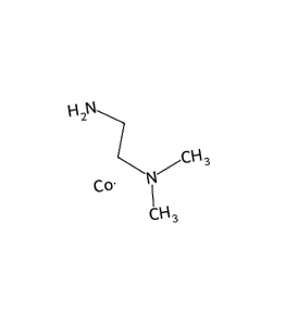 CN(C)CCN.[Co]